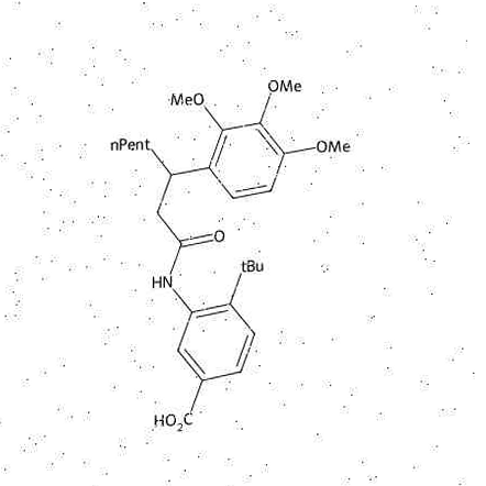 CCCCCC(CC(=O)Nc1cc(C(=O)O)ccc1C(C)(C)C)c1ccc(OC)c(OC)c1OC